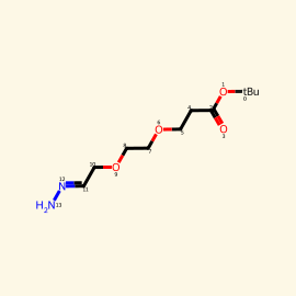 CC(C)(C)OC(=O)CCOCCOC/C=N/N